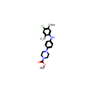 COc1cc(Nc2ccc(N3CCN(C(=O)OC(C)(C)C)CC3)cc2)c([N+](=O)[O-])cc1F